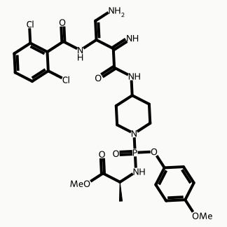 COC(=O)[C@H](C)NP(=O)(Oc1ccc(OC)cc1)N1CCC(NC(=O)C(=N)/C(=C\N)NC(=O)c2c(Cl)cccc2Cl)CC1